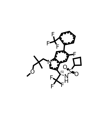 COCC(C)(C)Cn1cc([C@H](NS(=O)(=O)C2CCC2)C(F)(F)F)c2cc(F)c(-c3ccccc3C(F)(F)F)cc21